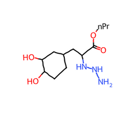 CCCOC(=O)C(CC1CCC(O)C(O)C1)NNN